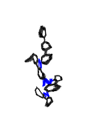 C1=Cc2c(n(-c3ccc4c5ccccc5n(-c5cccc(-c6ccc(-c7ccccc7)cc6)c5)c4c3)c3cc(-n4c5c(c6ccccc64)CCCC5)ccc23)CC1